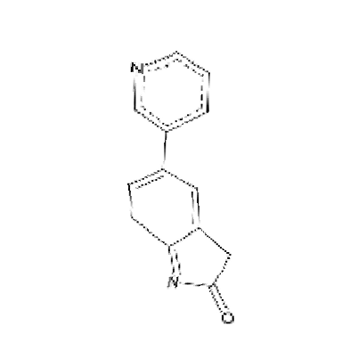 O=C1CC2=CC(c3cccnc3)=CCC2=N1